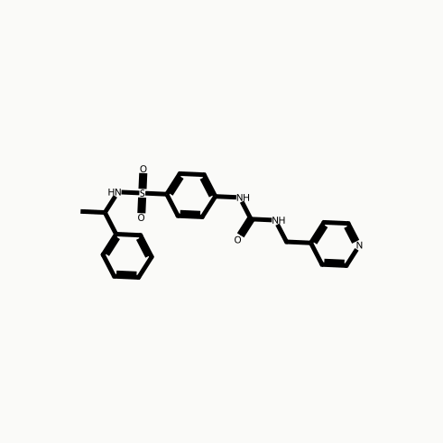 CC(NS(=O)(=O)c1ccc(NC(=O)NCc2ccncc2)cc1)c1ccccc1